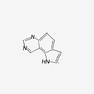 [c]1cc2ccc3ncncc3c2[nH]1